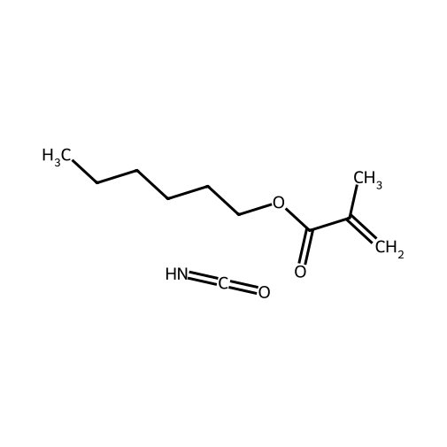 C=C(C)C(=O)OCCCCCC.N=C=O